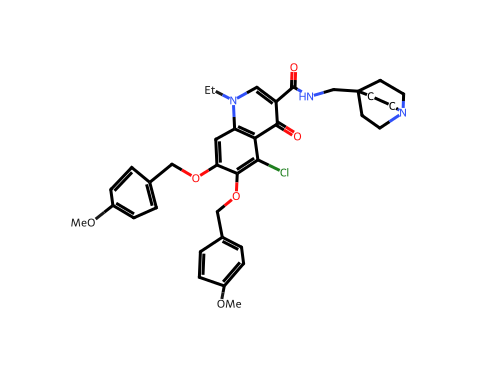 CCn1cc(C(=O)NCC23CCN(CC2)CC3)c(=O)c2c(Cl)c(OCc3ccc(OC)cc3)c(OCc3ccc(OC)cc3)cc21